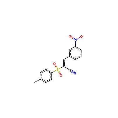 Cc1ccc(S(=O)(=O)C(C#N)=Cc2cccc([N+](=O)[O-])c2)cc1